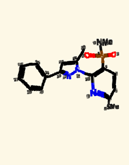 CNS(=O)(=O)c1ccc(SC)nc1-n1nc(-c2ccccc2)cc1C